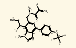 C=C(F)C(=O)N(C)Cc1cc(-c2ccc(OC(F)(F)F)cc2)c2ncn(C)c2c1C(O)CO